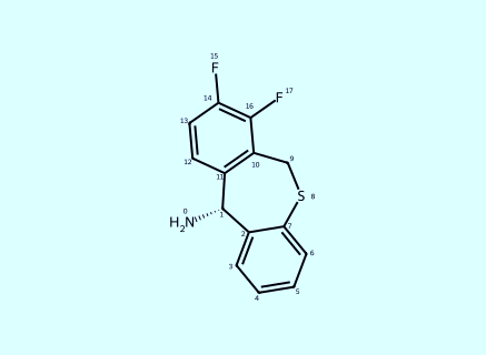 N[C@H]1c2ccccc2SCc2c1ccc(F)c2F